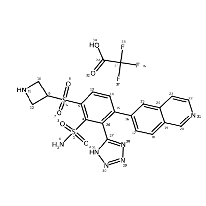 NS(=O)(=O)c1c(S(=O)(=O)C2CNC2)ccc(-c2ccc3cnccc3c2)c1-c1nnn[nH]1.O=C(O)C(F)(F)F